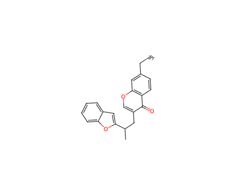 CC(C)Cc1ccc2c(=O)c(CC(C)c3cc4ccccc4o3)coc2c1